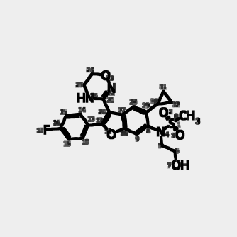 CS(=O)(=O)N(CCO)c1cc2oc(-c3ccc(F)cc3)c(C3=NOCCN3)c2cc1C1CC1